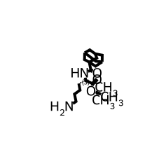 CC(C)(C)OC(=O)[C@H](CCCCN)NC(=O)C12CC3CC(CC(C3)C1)C2